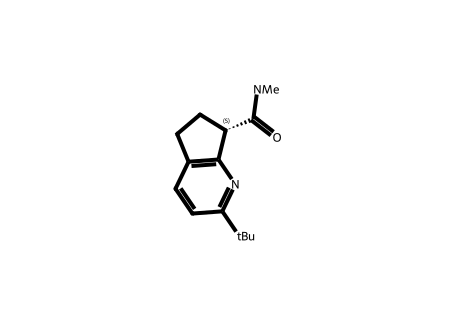 CNC(=O)[C@H]1CCc2ccc(C(C)(C)C)nc21